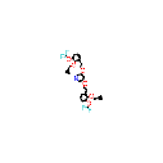 FC(F)Oc1cccc(CCOc2cncc(OCCc3cccc(OC(F)F)c3OCC3CC3)c2)c1OCC1CC1